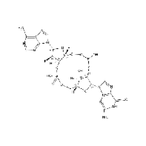 Nc1nc2c(ncn2[C@@H]2O[C@@H]3COP(=O)(O)O[C@H]4[C@@H](F)[C@H](n5cnc6c(N)ncnc65)O[C@@H]4COP(O)C[C@@H]2[C@@H]3O)c(=O)[nH]1